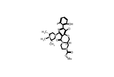 C[C@@H]1CN(c2nc(-c3c(O)cccc3F)c(Cl)c3c2C(=O)N2CCN(C(=O)OC(C)(C)C)C[C@@H]2CO3)C[C@H](C)N1C